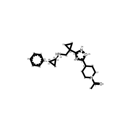 CC(=O)N1CCC(c2nc(C3(CN[C@H]4C[C@@H]4c4ccccc4)CC3)no2)CC1